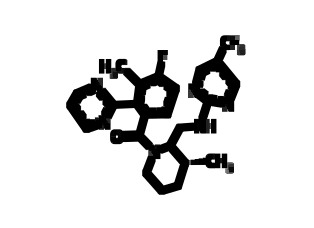 Cc1c(F)ccc(C(=O)N2CCC[C@@H](C)C2CNc2ncc(C(F)(F)F)cn2)c1-c1ncccn1